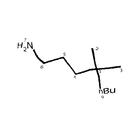 CCCCC(C)(C)CCCN